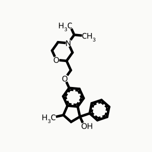 CC1CC(O)(c2ccccc2)c2ccc(OCC3CN(C(C)C)CCO3)cc21